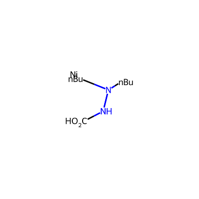 CCCCN(CCCC)NC(=O)O.[Ni]